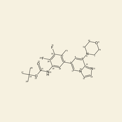 Cc1c(-c2cc(N3CCOCC3)c3nccn3c2)cc(NC(=O)OC(C)(C)C)c(F)c1F